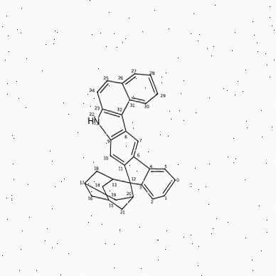 c1ccc2c(c1)-c1cc3c(cc1C21C2CC4CC(C2)CC1C4)[nH]c1ccc2ccccc2c13